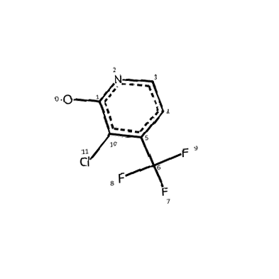 [O]c1nccc(C(F)(F)F)c1Cl